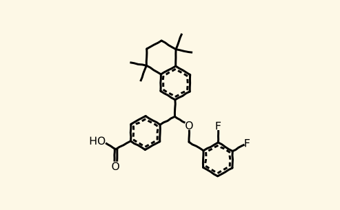 CC1(C)CCC(C)(C)c2cc(C(OCc3cccc(F)c3F)c3ccc(C(=O)O)cc3)ccc21